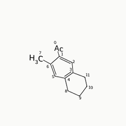 CC(=O)c1cc2c(cc1C)CCCC2